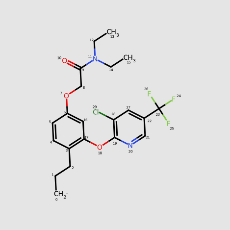 [CH2]CCc1ccc(OCC(=O)N(CC)CC)cc1Oc1ncc(C(F)(F)F)cc1Cl